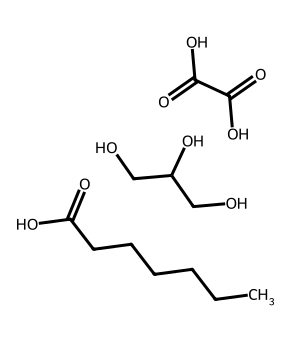 CCCCCCC(=O)O.O=C(O)C(=O)O.OCC(O)CO